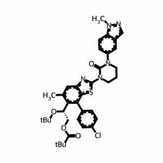 Cc1cc2nc(N3CCCN(c4ccc5c(cnn5C)c4)C3=O)sc2c(-c2ccc(Cl)cc2)c1[C@H](COC(=O)C(C)(C)C)OC(C)(C)C